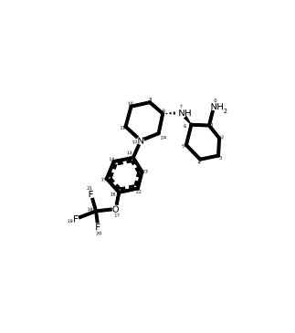 NC1CCCC[C@H]1N[C@H]1CCCN(c2ccc(OC(F)(F)F)cc2)C1